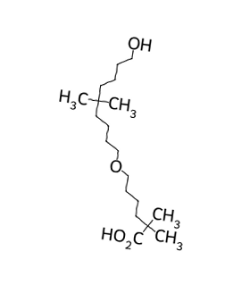 CC(C)(CCCCO)CCCCOCCCCC(C)(C)C(=O)O